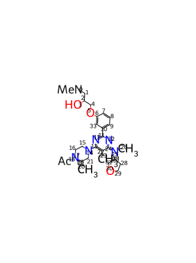 CNCC(O)COc1cccc(-c2nc(N3CCN(C(C)=O)[C@@H](C)C3)c(C)c(N(C)[C@@H]3CCOC3)n2)c1